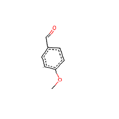 COc1[c]cc(C=O)cc1